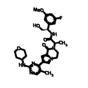 COc1cc(F)cc([C@@H](CO)NC(=O)[C@@H](C)N2CCn3cc(-c4nc(NC5CCOCC5)ncc4C)cc3C2=O)c1